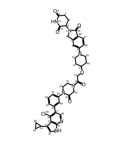 O=C1CCC(N2Cc3cc(N4CCC(OCC(=O)N5CCN(c6cccc(-c7cnc8[nH]cc(C9CC9)c8c7Cl)c6)C(=O)C5)CC4)ccc3C2=O)C(=O)N1